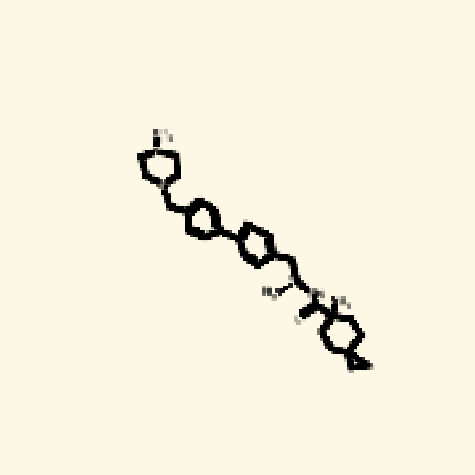 CN1CCN(Cc2ccc(-c3ccc(C[C@@H](N)NC(=O)C4(N)CCC5(CC5)CC4)cc3)cc2)CC1